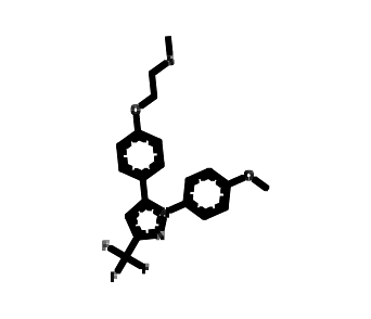 COc1ccc(-n2nc(C(F)(F)F)cc2-c2ccc(OCCSC)cc2)cc1